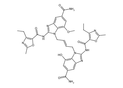 CCc1nc(C)oc1C(=O)Nc1nc2cc(C(N)=O)cc(O)c2n1CC=CCn1c(NC(=O)c2oc(C)nc2CC)nc2cc(C(N)=O)cc(OC)c21